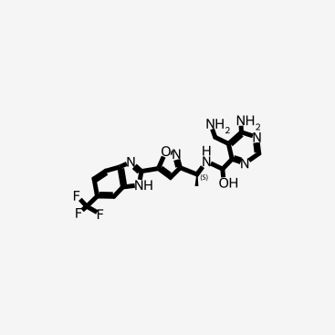 C[C@H](NC(O)c1ncnc(N)c1CN)c1cc(-c2nc3ccc(C(F)(F)F)cc3[nH]2)on1